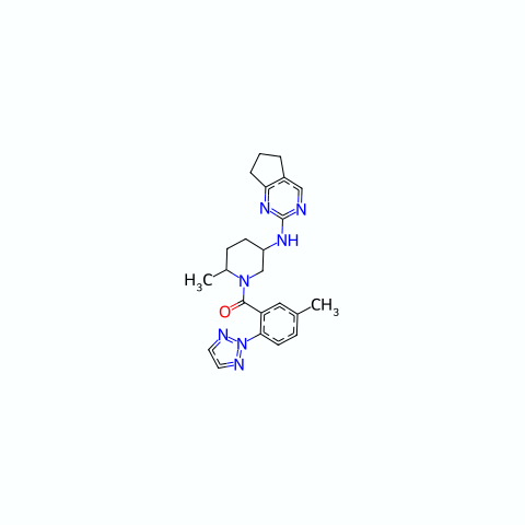 Cc1ccc(-n2nccn2)c(C(=O)N2CC(Nc3ncc4c(n3)CCC4)CCC2C)c1